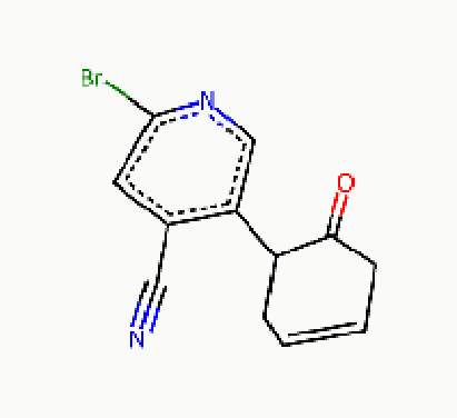 N#Cc1cc(Br)ncc1C1CC=CCC1=O